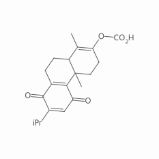 CC1=C(OC(=O)O)CCC2(C)C3=C(CCC12)C(=O)C(C(C)C)=CC3=O